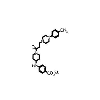 CCOC(=O)c1ccc(NC2CCN(C(=O)CCN3CCN(c4ccc(C)cc4)CC3)CC2)cc1